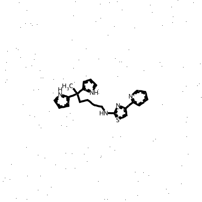 CC(CCCCNc1nc(-c2ccccn2)cs1)(c1ccc[nH]1)c1ccc[nH]1